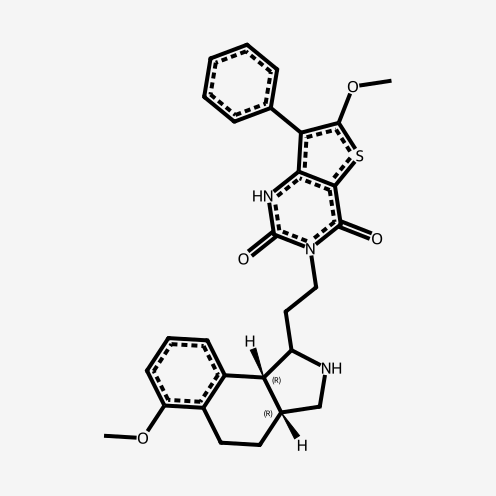 COc1cccc2c1CC[C@H]1CNC(CCn3c(=O)[nH]c4c(-c5ccccc5)c(OC)sc4c3=O)[C@@H]21